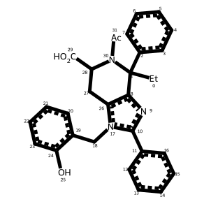 CCC1(c2ccccc2)c2nc(-c3ccccc3)n(Cc3ccccc3O)c2CC(C(=O)O)N1C(C)=O